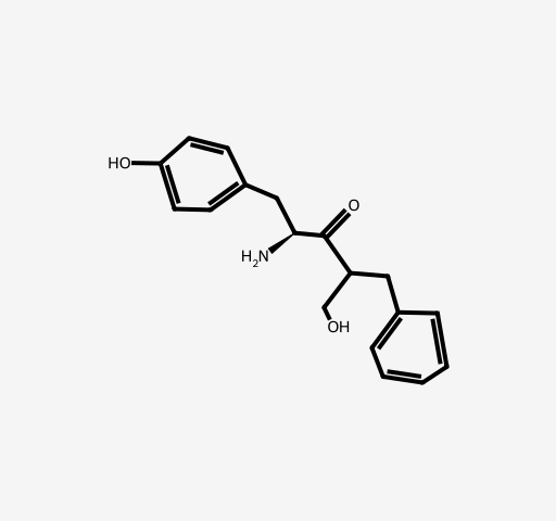 N[C@@H](Cc1ccc(O)cc1)C(=O)C(CO)Cc1ccccc1